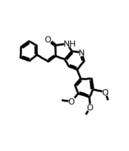 COc1cc(-c2cnc3c(c2)C(=Cc2ccccc2)C(=O)N3)cc(OC)c1OC